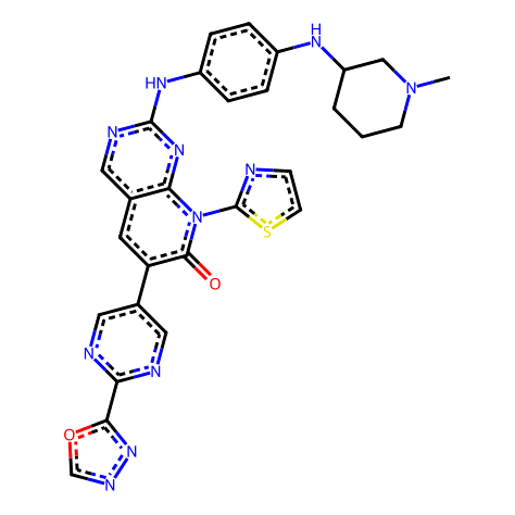 CN1CCCC(Nc2ccc(Nc3ncc4cc(-c5cnc(-c6nnco6)nc5)c(=O)n(-c5nccs5)c4n3)cc2)C1